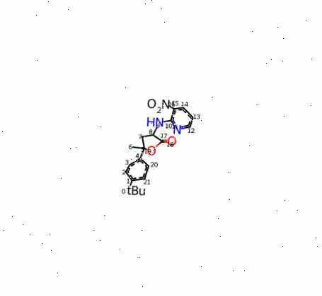 CC(C)(C)c1ccc(C2(C)CC(Nc3ncccc3[N+](=O)[O-])C(=O)O2)cc1